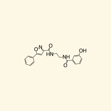 O=C(NCCNC(=O)c1cc(-c2ccccc2)on1)c1cccc(O)c1